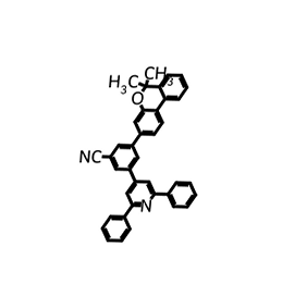 CC1(C)Oc2cc(-c3cc(C#N)cc(-c4cc(-c5ccccc5)nc(-c5ccccc5)c4)c3)ccc2-c2ccccc21